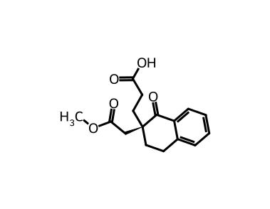 COC(=O)C[C@]1(CCC(=O)O)CCc2ccccc2C1=O